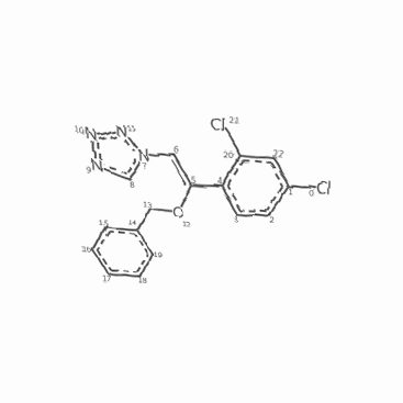 Clc1ccc(C(=Cn2cnnn2)OCc2ccccc2)c(Cl)c1